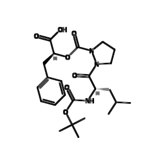 CC(C)C[C@H](NC(=O)OC(C)(C)C)C(=O)N1CCCN1C(=O)O[C@@H](Cc1ccccc1)C(=O)O